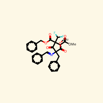 COC(=O)C(C)C(C(=O)OCc1ccccc1)(C(=O)C(Cc1ccccc1)(N=Cc1ccccc1)C(=O)OC(C)(C)C)C(F)F